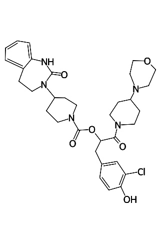 O=C(OC(Cc1ccc(O)c(Cl)c1)C(=O)N1CCC(N2CCOCC2)CC1)N1CCC(N2CCc3ccccc3NC2=O)CC1